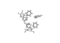 CCOC1(OCC)OC(CC2=N[C@H](c3ccccc3)C(OCC)(OCC)O2)=N[C@@H]1c1ccccc1.[Cl-].[Cl-].[Pd+2]